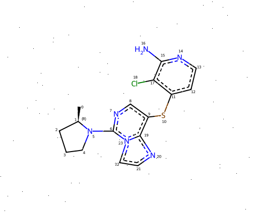 C[C@@H]1CCCN1c1ncc(Sc2ccnc(N)c2Cl)c2nccn12